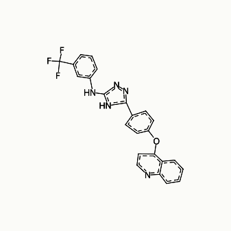 FC(F)(F)c1cccc(Nc2nnc(-c3ccc(Oc4ccnc5ccccc45)cc3)[nH]2)c1